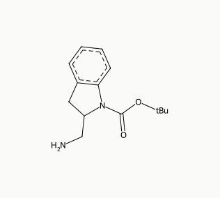 CC(C)(C)OC(=O)N1c2ccccc2CC1CN